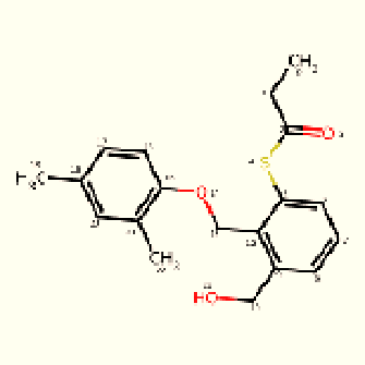 CCC(=O)Sc1cccc(CO)c1COc1ccc(C)cc1C